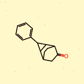 O=C1CC2CCC1C1C(c3ccccc3)C21